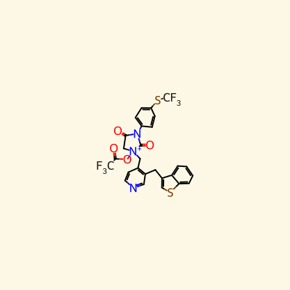 O=C1C[N+](Cc2ccncc2Cc2csc3ccccc23)(OC(=O)C(F)(F)F)C(=O)N1c1ccc(SC(F)(F)F)cc1